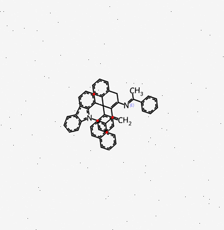 C=C(C1=C(/N=C(\C)c2ccccc2)Cc2ccccc2C12c1ccccc1-n1c3ccccc3c3cccc2c31)c1cccc2ccccc12